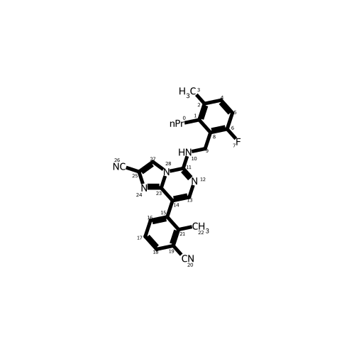 CCCc1c(C)ccc(F)c1CNc1ncc(-c2cccc(C#N)c2C)c2nc(C#N)cn12